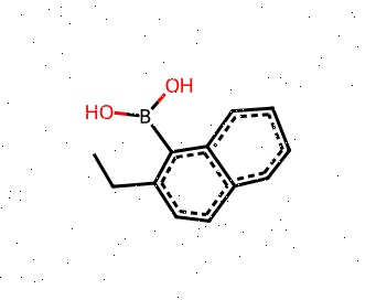 CCc1ccc2ccccc2c1B(O)O